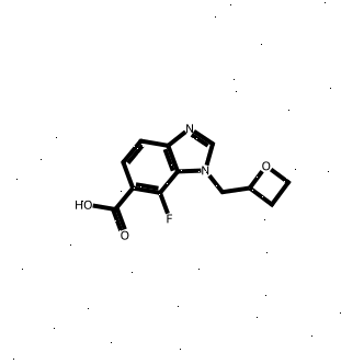 O=C(O)c1ccc2ncn(CC3CCO3)c2c1F